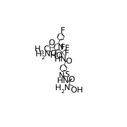 C[C@]1(C(N)=O)COc2c1cc([C@@](O)(CNC(=O)c1ccc3nc(NC(=O)[C@H](N)CO)sc3c1)C(F)(F)F)nc2-c1ccc(F)cc1